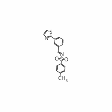 Cc1ccc(S(=O)(=O)N=Cc2cccc(-c3nccs3)c2)cc1